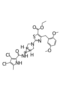 CCOC(=O)c1sc(N2C[C@@H]3[C@H](C2)[C@@H]3NC(=O)c2[nH]c(C)c(Cl)c2Cl)nc1Cc1cc(OC)ccc1OC